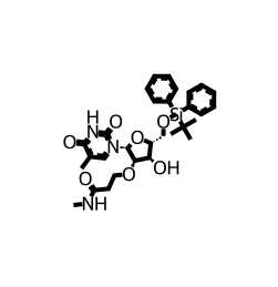 CNC(=O)CCO[C@@H]1[C@H](O)[C@@H](CO[Si](c2ccccc2)(c2ccccc2)C(C)(C)C)O[C@H]1n1cc(C)c(=O)[nH]c1=O